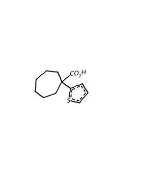 O=C(O)C1(c2cccs2)CCCCCC1